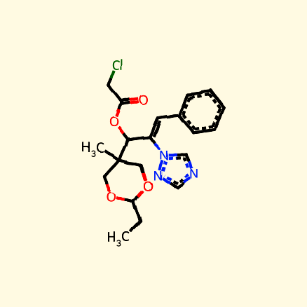 CCC1OCC(C)(C(OC(=O)CCl)C(=Cc2ccccc2)n2cncn2)CO1